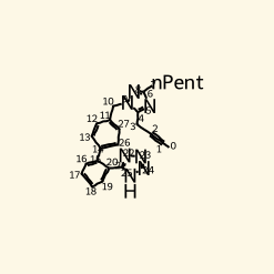 CC#CCc1nc(CCCCC)nn1Cc1ccc(-c2ccccc2-c2nnn[nH]2)cc1